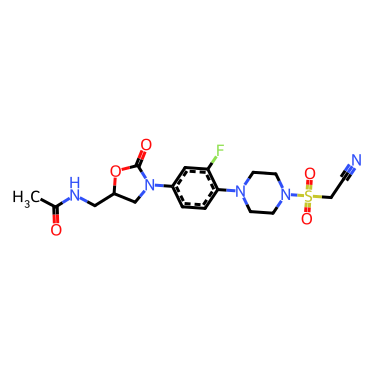 CC(=O)NCC1CN(c2ccc(N3CCN(S(=O)(=O)CC#N)CC3)c(F)c2)C(=O)O1